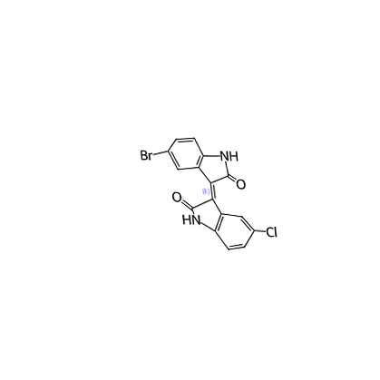 O=C1Nc2ccc(Cl)cc2/C1=C1\C(=O)Nc2ccc(Br)cc21